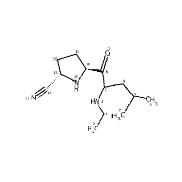 CCNC(CC(C)C)C(=O)[C@@H]1CC[C@@H](C#N)N1